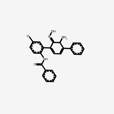 NC1C(c2ccccc2)=CC=C(c2cc(Cl)ccc2NC(=O)c2ccccc2)/C1=N/O